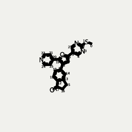 CSc1ncc(-c2cc(-c3ccc4c(c3)CCC4=O)c(-c3ccncc3)o2)cn1